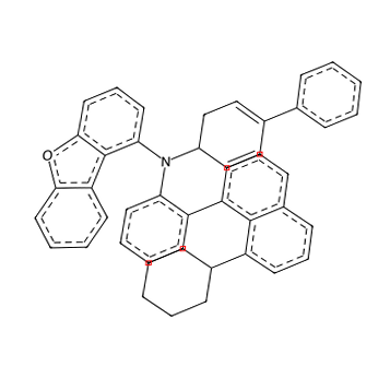 C1=CC(N(c2ccccc2-c2cccc3cccc(C4CCCCC4)c23)c2cccc3oc4ccccc4c23)CC=C1c1ccccc1